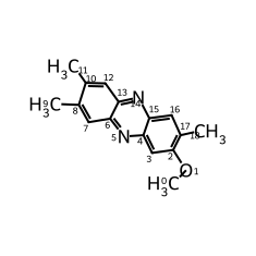 COc1cc2nc3cc(C)c(C)cc3nc2cc1C